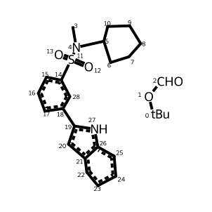 CC(C)(C)OC=O.CN(C1CCCCC1)S(=O)(=O)c1cccc(-c2cc3ccccc3[nH]2)c1